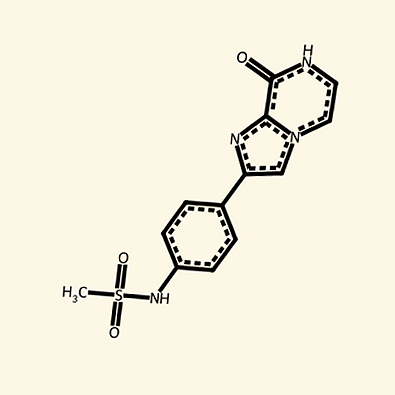 CS(=O)(=O)Nc1ccc(-c2cn3cc[nH]c(=O)c3n2)cc1